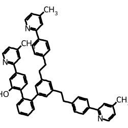 Cc1ccnc(-c2ccc(CCc3cc(CCc4ccc(-c5cc(C)ccn5)cc4)cc(-c4ccccc4-c4ccc(-c5cc(C)ccn5)cc4O)c3)cc2)c1